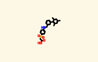 Cc1cc(C)c(-c2cccc(CNc3ccc(S(=O)(=O)CC(=O)O)cc3)c2)c(C)c1